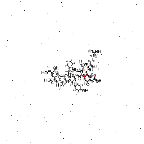 CC(C)C[C@H](NC(=O)[C@H](Cc1c[nH]c2ccccc12)NC(=O)[C@H](Cc1ccc(O)cc1)NC(=O)[C@H](CO)NC(=O)[C@H](Cc1ccc(O)cc1)NC(=O)[C@H](CC(=O)O)NC(=O)[C@H](CC(N)=O)NC(=O)[C@H](N)CCCNC(=N)N)C(=O)N[C@@H](CO)C(=O)N[C@H](C(=O)O)[C@@H](C)O